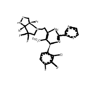 CCOC(=O)C1=C(CN2CC(F)(F)[C@@H]3NOC[C@@H]32)NC(c2nccs2)=N[C@H]1c1ccc(F)c(F)c1Cl